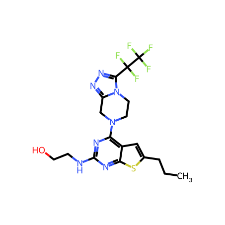 CCCc1cc2c(N3CCn4c(nnc4C(F)(F)C(F)(F)F)C3)nc(NCCO)nc2s1